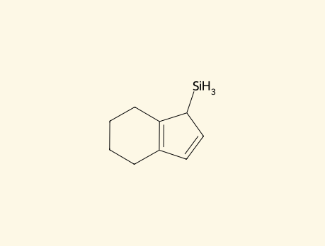 [SiH3]C1C=CC2=C1CCCC2